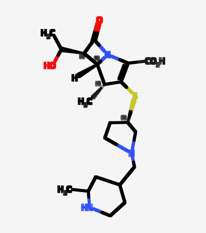 CC1CC(CN2CC[C@@H](SC3=C(C(=O)O)N4C(=O)[C@H](C(C)O)[C@H]4[C@H]3C)C2)CCN1